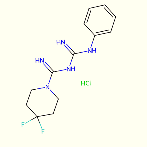 Cl.N=C(NC(=N)N1CCC(F)(F)CC1)Nc1ccccc1